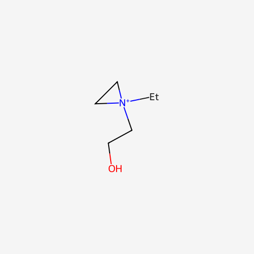 [CH2]C[N+]1(CCO)CC1